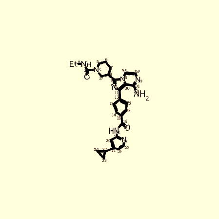 CCNC(=O)N1CCCC(c2nc(-c3ccc(C(=O)Nc4cc(C5CC5)ccn4)cc3)c3c(N)nccn23)C1